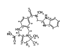 CN(Cc1nc2ccccc2[nH]1)C(=O)c1ccc2c(c1)CN(C(C)(C)C)C(=O)[C@H](C(=O)O)N2